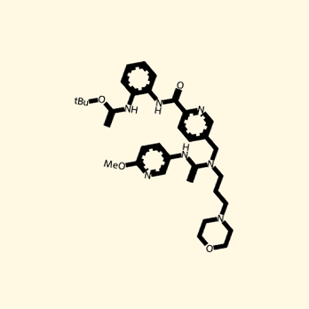 C=C(Nc1ccccc1NC(=O)c1ccc(CN(CCCN2CCOCC2)C(=C)Nc2ccc(OC)nc2)cn1)OC(C)(C)C